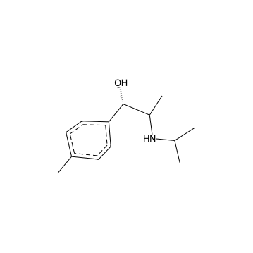 Cc1ccc([C@H](O)C(C)NC(C)C)cc1